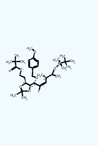 COc1ccc(CO[C@H](/C(F)=C\[C@@H](C)C(C)O[Si](C)(C)C(C)(C)C)[C@H]2OC(C)(C)O[C@H]2CCOC(=O)C(C)(C)C)cc1